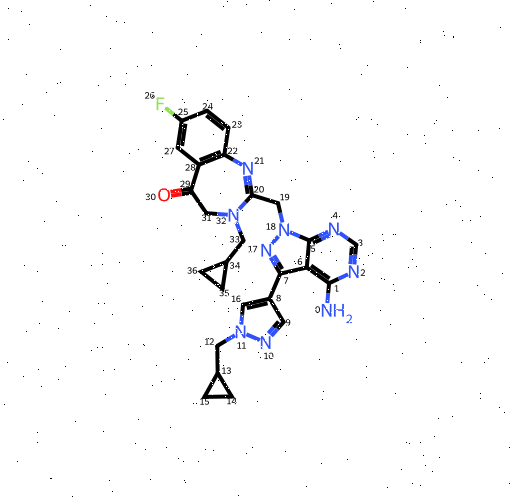 Nc1ncnc2c1c(-c1cnn(CC3CC3)c1)nn2CC1=Nc2ccc(F)cc2C(=O)CN1CC1CC1